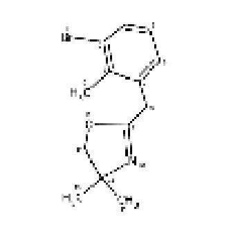 Cc1c(Br)cccc1CC1=NC(C)(C)CO1